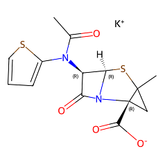 CC(=O)N(c1cccs1)[C@@H]1C(=O)N2[C@@H]1SC1(C)C[C@]21C(=O)[O-].[K+]